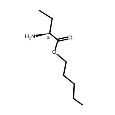 CCCCCOC(=O)[C@@H](N)CC